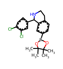 CC1(C)OB(c2ccc3c(c2)C(c2ccc(Cl)c(Cl)c2)NCC3)OC1(C)C